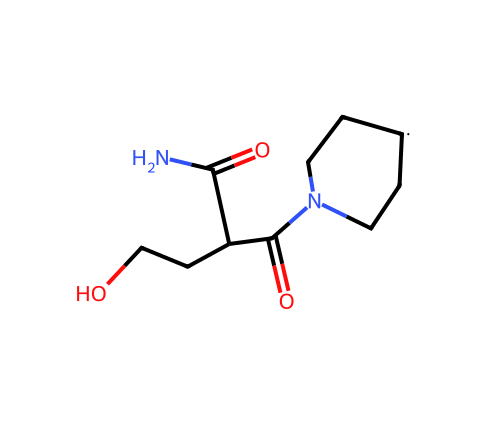 NC(=O)C(CCO)C(=O)N1CC[CH]CC1